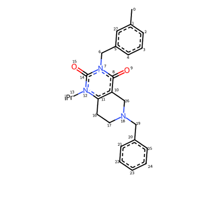 Cc1cccc(Cn2c(=O)c3c(n(C(C)C)c2=O)CCN(Cc2ccccc2)C3)c1